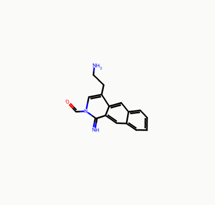 N=c1c2cc3ccccc3cc2c(CCN)cn1C=O